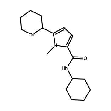 Cn1c(C(=O)NC2CCCCC2)ccc1C1CCCC[N]1